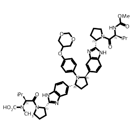 COC(=O)N[C@H](C(=O)N1CCC[C@H]1c1nc2cc([C@H]3CC[C@H](c4ccc5[nH]c([C@@H]6CCCN6C(=O)[C@H](C(C)C)N(C)C(=O)O)nc5c4)N3c3ccc(OC4COCOC4)cc3)ccc2[nH]1)C(C)C